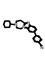 N#Cc1ccc(-c2ccc3nc4n(c3c2)CCN(C2CCCCC2)CC4)cc1